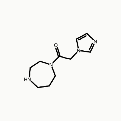 O=C(Cn1ccnc1)N1CCCNCC1